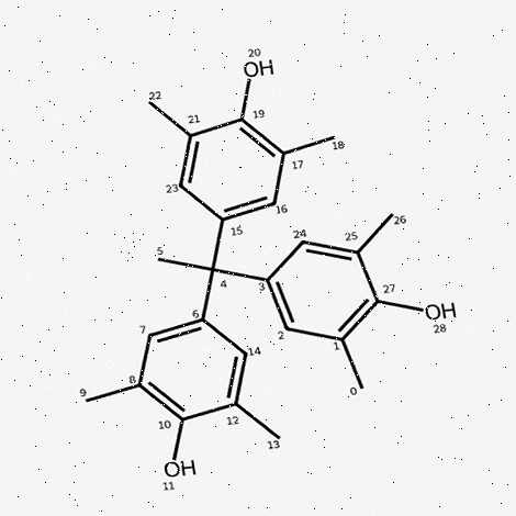 Cc1cc(C(C)(c2cc(C)c(O)c(C)c2)c2cc(C)c(O)c(C)c2)cc(C)c1O